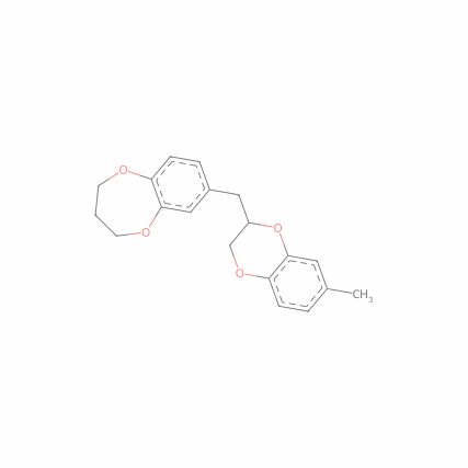 Cc1ccc2c(c1)OC(Cc1ccc3c(c1)OCCCO3)CO2